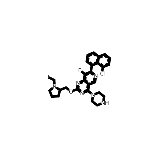 Fc1c(-c2cccc3cccc(Cl)c23)ncc2c(N3CCNCC3)nc(OCC3CCCN3CI)nc12